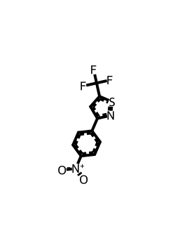 O=[N+]([O-])c1ccc(-c2cc(C(F)(F)F)sn2)cc1